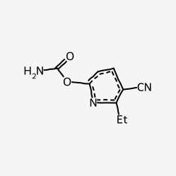 CCc1nc(OC(N)=O)ccc1C#N